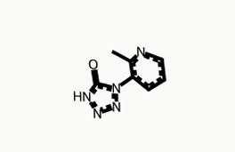 Cc1ncccc1-n1nn[nH]c1=O